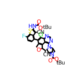 CC(C)(C)OC(=O)Nc1sc2c(F)ccc(-c3c4c(c5c(N6CC7CC6CN7C(=O)OC(C)(C)C)ncnc5c3Cl)C(CC#N)OC4)c2c1C#N